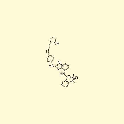 CN(c1ccccc1CNc1cccn2nc(Nc3ccc(OCCC4CCCN4)cc3)nc12)S(C)(=O)=O